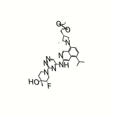 CC(C)c1ccc(N2C[C@H](CS(C)(=O)=O)[C@H]2C)c2cnc(Nc3cnnc(N4CC[C@@](C)(O)[C@@H](F)C4)n3)cc12